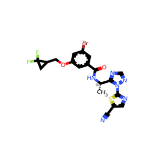 C[C@H](NC(=O)c1cc(Br)cc(OCC2CC2(F)F)c1)c1ncnn1-c1ncc(C#N)s1